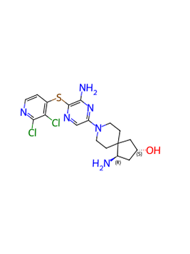 Nc1nc(N2CCC3(CC2)C[C@H](O)C[C@H]3N)cnc1Sc1ccnc(Cl)c1Cl